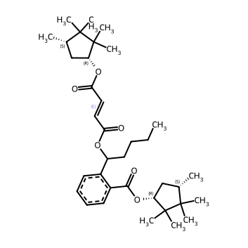 CCCCC(OC(=O)/C=C/C(=O)O[C@@H]1C[C@H](C)C(C)(C)C1(C)C)c1ccccc1C(=O)O[C@@H]1C[C@H](C)C(C)(C)C1(C)C